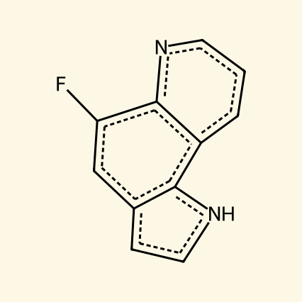 Fc1cc2cc[nH]c2c2cccnc12